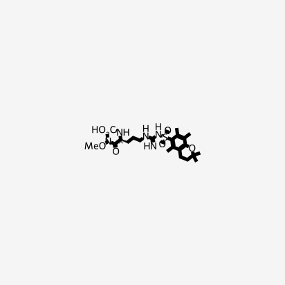 CON(C)C(=O)[C@H](CCCNC(=N)NS(=O)(=O)c1c(C)c(C)c2c(c1C)CCC(C)(C)O2)NC(=O)O